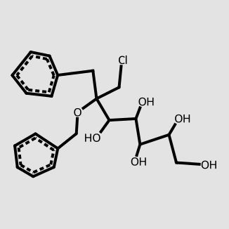 OCC(O)C(O)C(O)C(O)C(CCl)(Cc1ccccc1)OCc1ccccc1